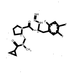 CN(C[C@@H]1CCCN1C(=O)C[C@@H](Cc1cc(F)c(F)cc1F)NN=N)C(=O)C1CC1